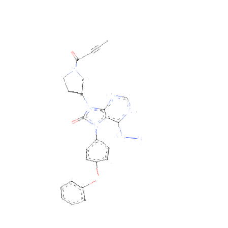 CC#CC(=O)N1CCC(n2c(=O)n(-c3ccc(Oc4ccccc4)cc3)c3c(NN)ncnc32)C1